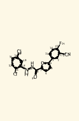 N#Cc1cc(-c2ccc(C(=O)NNc3cc(Cl)ccc3Cl)o2)ccc1F